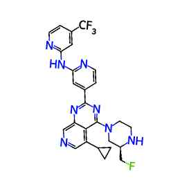 FC[C@H]1CN(c2nc(-c3ccnc(Nc4cc(C(F)(F)F)ccn4)c3)nc3cncc(C4CC4)c23)CCN1